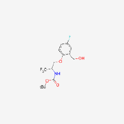 CC(C)(C)OC(=O)NC(COc1ccc(F)cc1CO)C(F)(F)F